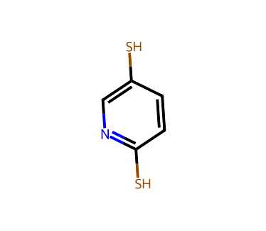 Sc1ccc(S)nc1